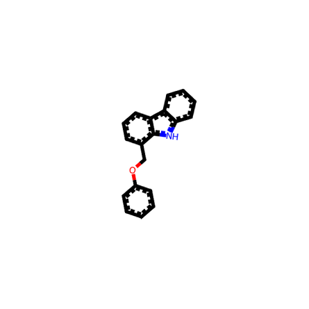 [c]1ccc(OCc2cccc3c2[nH]c2ccccc23)cc1